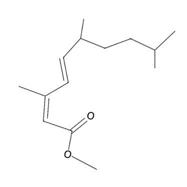 COC(=O)C=C(C)C=CC(C)CCC(C)C